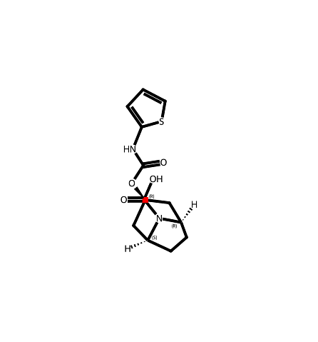 O=C(Nc1cccs1)O[C@H]1C[C@H]2CC[C@@H](C1)N2C(=O)O